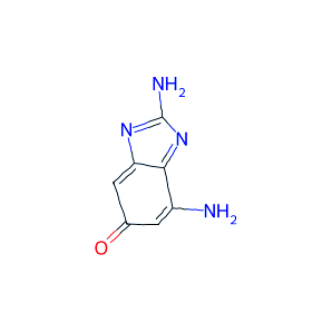 NC1=CC(=O)C=C2N=C(N)N=C12